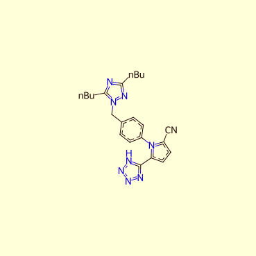 CCCCc1nc(CCCC)n(Cc2ccc(-n3c(C#N)ccc3-c3nnn[nH]3)cc2)n1